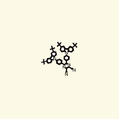 CC(C)(C)c1ccc2c(c1)c1cc(C(C)(C)C)ccc1n2-c1ccc(-c2nc(C#N)c(C#N)nc2-c2ccc(-n3c4ccc(C(C)(C)C)cc4c4cc(C(C)(C)C)ccc43)cc2)cc1